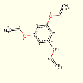 C=COc1cc(OC=C)cc(OC=C)c1